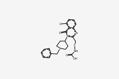 O=C(O)NCCc1nc2cccc(Cl)c2c(=O)n1C1CCN(Cc2ccccc2)CC1